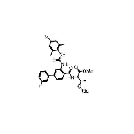 COC(=O)[C@@H](NC(=O)c1ccc(-c2cccc(F)c2)cc1NC(=O)Nc1c(C)cc(Br)cc1C)[C@@H](C)OC(C)(C)C